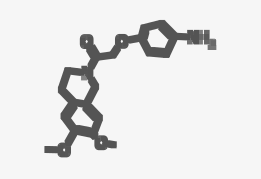 COc1cc2c(cc1OC)CN(C(=O)COc1ccc(N)cc1)CC2